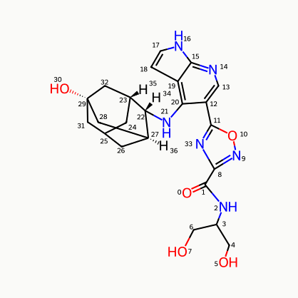 O=C(NC(CO)CO)c1noc(-c2cnc3[nH]ccc3c2N[C@H]2[C@@H]3CC4C[C@H]2C[C@@](O)(C4)C3)n1